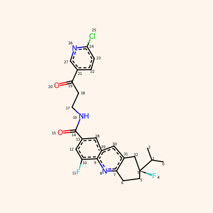 CC(C)[C@]1(F)CCc2nc3c(F)cc(C(=O)NCCC(=O)c4ccc(Cl)nc4)cc3cc2C1